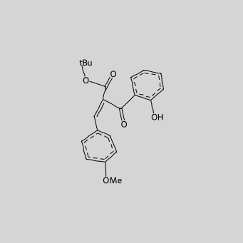 COc1ccc(C=C(C(=O)OC(C)(C)C)C(=O)c2ccccc2O)cc1